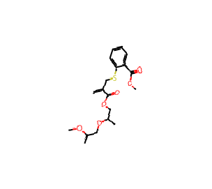 C=C(CSc1ccccc1C(=O)OC)C(=O)OCC(C)OCC(C)OC